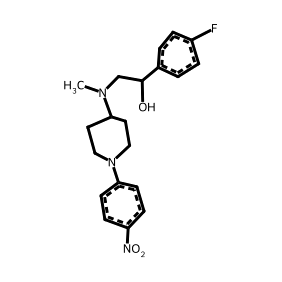 CN(CC(O)c1ccc(F)cc1)C1CCN(c2ccc([N+](=O)[O-])cc2)CC1